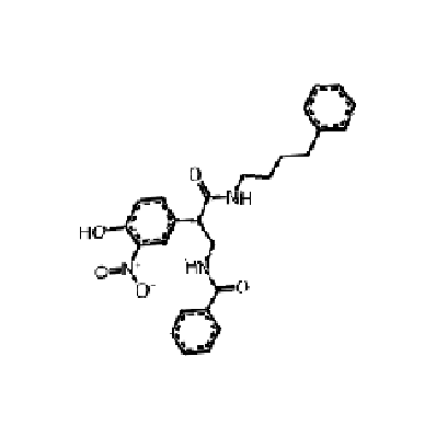 O=C(NCC(C(=O)NCCCCc1ccccc1)c1ccc(O)c([N+](=O)[O-])c1)c1ccccc1